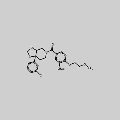 COc1cc(C(=O)N2CC[C@]3(c4cccc(Cl)c4)OCOC3C2)ccc1OCCOC(F)(F)F